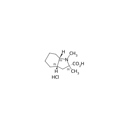 CN1[C@H]2CCCC[C@H]2C[C@@]1(C)C(=O)O.Cl